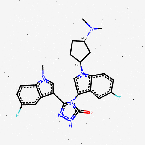 CN(C)[C@H]1CC[C@H](n2cc(-n3c(-c4cn(C)c5ccc(F)cc45)n[nH]c3=O)c3cc(F)ccc32)C1